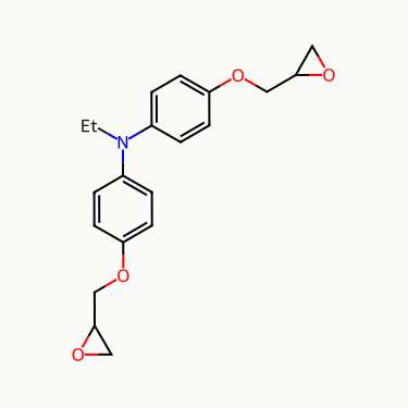 CCN(c1ccc(OCC2CO2)cc1)c1ccc(OCC2CO2)cc1